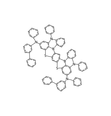 c1ccc(-c2cccc(N(c3ccccc3)c3cc4c5c(c3)N(c3ccccc3)c3ccccc3B5c3cc5c(cc3S4)Sc3cc(N(c4ccccc4)c4cccc(-c6ccccc6)c4)cc4c3B5c3ccccc3N4c3ccccc3)c2)cc1